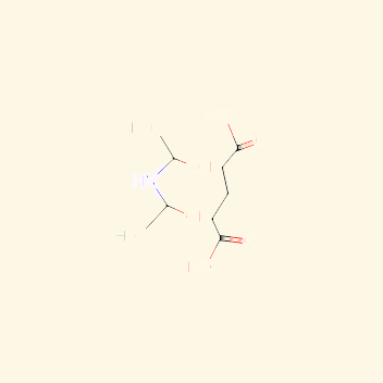 CC(O)NC(C)O.O=C(O)CCCC(=O)O